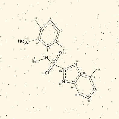 Cc1ccc(C)c(N(C(C)C)S(=O)(=O)c2nc3nccc(C)n3n2)c1C(=O)O